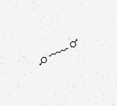 CC(C)(C)C1CCC(NCCCCCCCCNC2CCC(C(C)(C)C)CC2)CC1